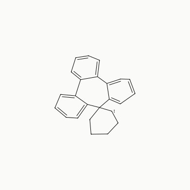 [C]1CCCCC12c1ccccc1-c1ccccc1-c1ccccc12